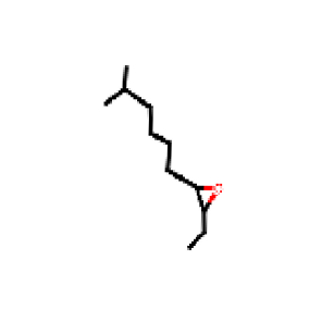 CCC1OC1CCCCC(C)C